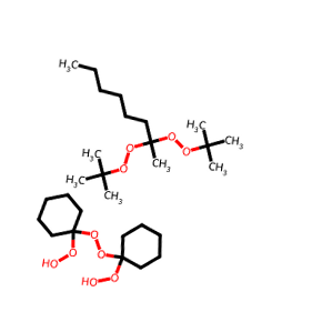 CCCCCCC(C)(OOC(C)(C)C)OOC(C)(C)C.OOC1(OOC2(OO)CCCCC2)CCCCC1